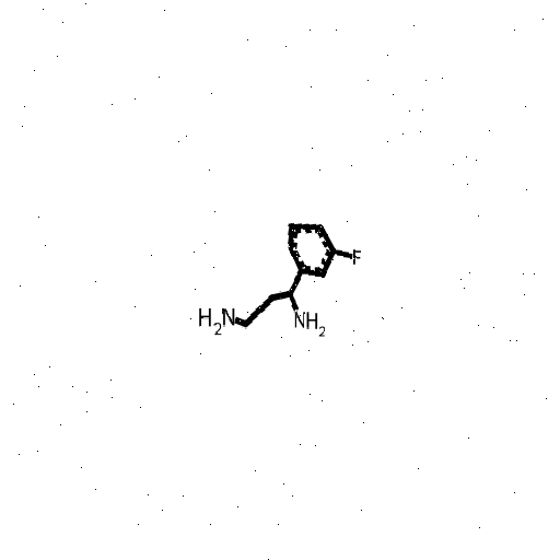 NCCC(N)c1cccc(F)c1